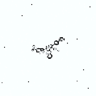 Cn1c(-c2ccc(-n3ccnc3)cc2)cnc1C(Cc1ccccn1)NC(=O)c1cc2cc([N+](=O)[O-])cnc2o1